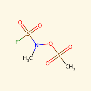 CN(OS(C)(=O)=O)S(=O)(=O)F